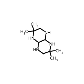 CC1(C)CNC2NC(C)(C)CNC2N1